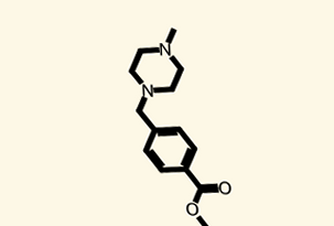 COC(=O)c1ccc(CN2CCN(C)CC2)cc1